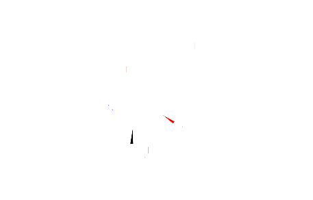 N[C@H](C(=O)O)[C@H](O)[C@H](O)[C@@H](O)C=O